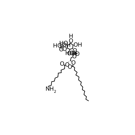 CCCCCCCCCCCCCCCC(=O)O[C@H](COC(=O)CCCCCCCCCCN)COP(=O)(O)OC1C(O)[C@@H](OP(=O)(O)O)C(O)[C@@H](O)[C@H]1O